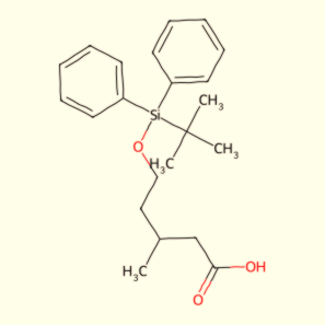 CC(CCO[Si](c1ccccc1)(c1ccccc1)C(C)(C)C)CC(=O)O